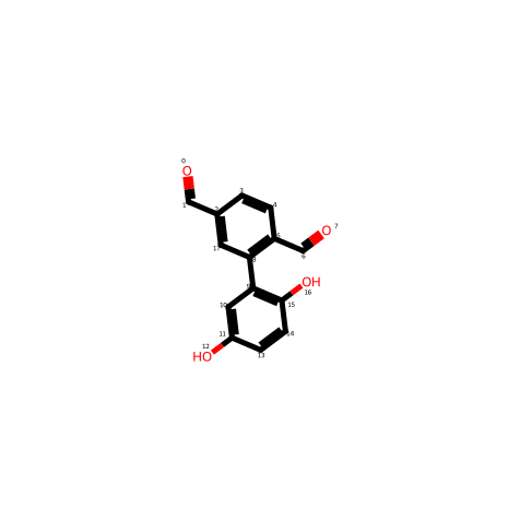 O=Cc1ccc(C=O)c(-c2cc(O)ccc2O)c1